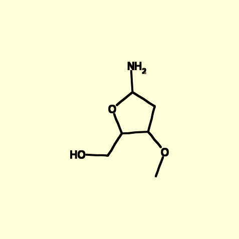 COC1CC(N)OC1CO